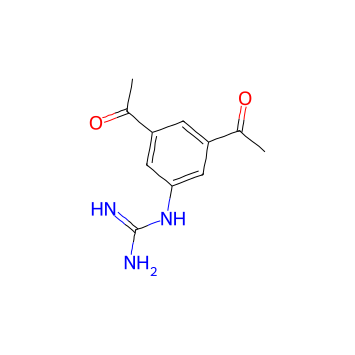 CC(=O)c1cc(NC(=N)N)cc(C(C)=O)c1